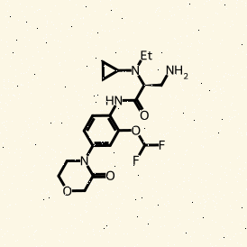 CCN(C1CC1)[C@@H](CN)C(=O)Nc1ccc(N2CCOCC2=O)cc1OC(F)F